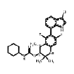 C[C@@H]1c2c(cc(F)c(-c3cccc4c(Cl)c[nH]c34)c2F)NC(C)(C)[C@H]1OC(=O)NC1CCCCC1